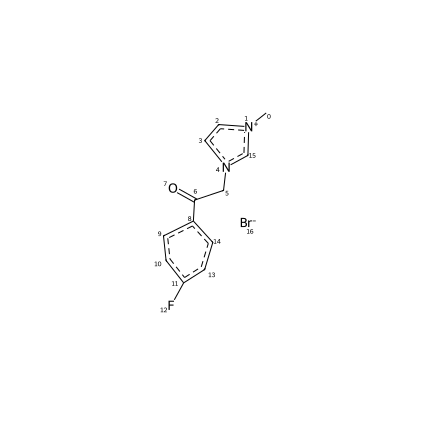 C[n+]1ccn(CC(=O)c2ccc(F)cc2)c1.[Br-]